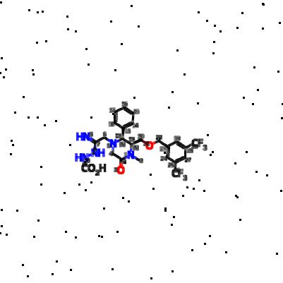 CN1C(=O)CN(CC(=N)NNC(=O)O)[C@@H](c2ccccc2)[C@H]1COCc1cc(C(F)(F)F)cc(C(F)(F)F)c1